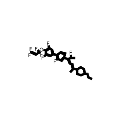 CCCC1CCC(/C(C)=C/C=C(/c2ccc(-c3cc(F)c(OC(F)(F)C=C(F)F)c(F)c3)c(F)c2)C(C)F)CC1